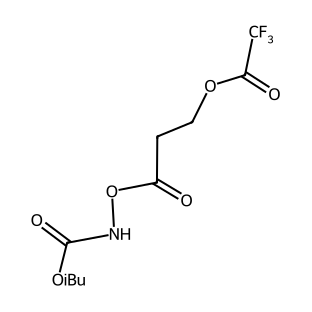 CC(C)COC(=O)NOC(=O)CCOC(=O)C(F)(F)F